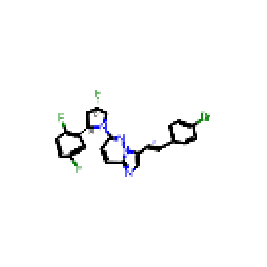 Fc1ccc(F)c([C@H]2C[C@H](F)CN2c2ccc3ncc(/C=C/c4ccc(Br)cc4)n3n2)c1